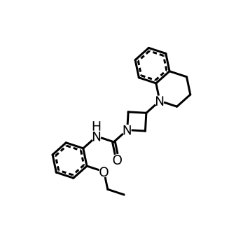 CCOc1ccccc1NC(=O)N1CC(N2CCCc3ccccc32)C1